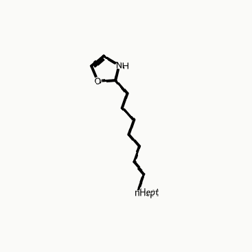 CCCCCCCCCCCCCCC1NC=CO1